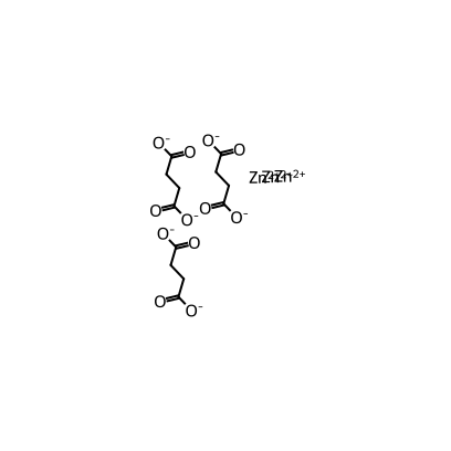 O=C([O-])CCC(=O)[O-].O=C([O-])CCC(=O)[O-].O=C([O-])CCC(=O)[O-].[Zn+2].[Zn+2].[Zn+2]